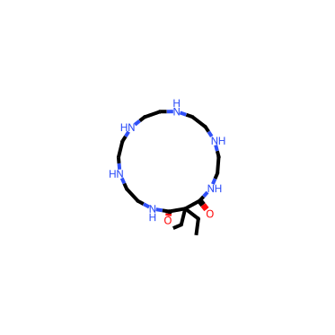 CCC1(CC)C(=O)NCCNCCNCCNCCNCCNC1=O